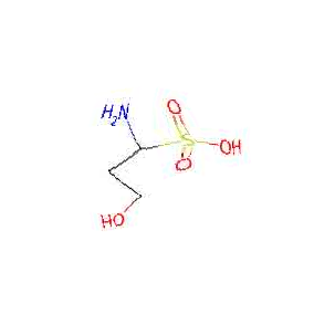 NC(CCO)S(=O)(=O)O